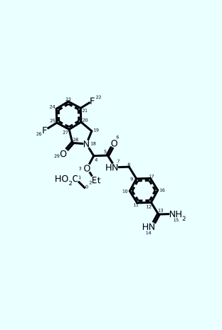 CC(=O)O.CCOC(C(=O)NCc1ccc(C(=N)N)cc1)N1Cc2c(F)ccc(F)c2C1=O